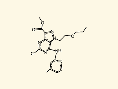 CCCOCCn1nc(C(=O)OC)c2nc(Cl)nc(Nc3cc(C)ccn3)c21